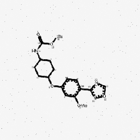 COc1cc(OC2CCC(NC(=O)OC(C)(C)C)CC2)ccc1-c1ncon1